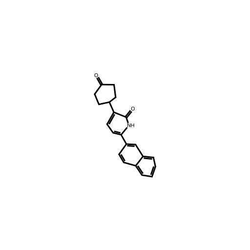 O=C1CCC(c2ccc(-c3ccc4ccccc4c3)[nH]c2=O)CC1